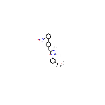 CCCCc1nc(C)n(-c2cccc(C(C)O[Si](C)(C)C(C)(C)C)c2)c(=O)c1Cc1ccc(-c2ccccc2-c2noc(=O)[nH]2)cc1